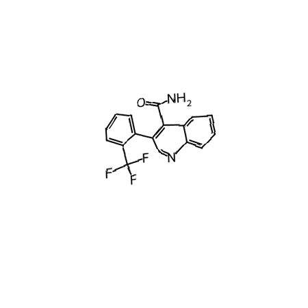 NC(=O)c1c(-c2ccccc2C(F)(F)F)cnc2ccccc12